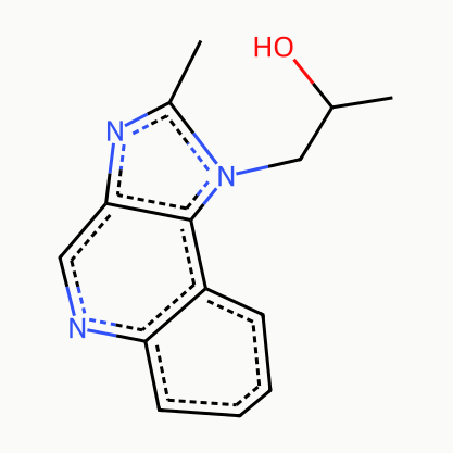 Cc1nc2cnc3ccccc3c2n1CC(C)O